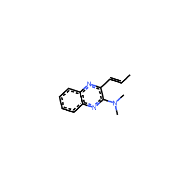 C/C=C/c1nc2ccccc2nc1N(C)C